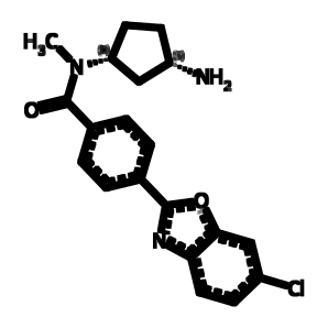 CN(C(=O)c1ccc(-c2nc3ccc(Cl)cc3o2)cc1)[C@@H]1CC[C@H](N)C1